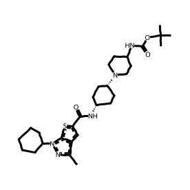 Cc1nn(C2CCCCC2)c2sc(C(=O)N[C@H]3CC[C@@H](N4CCC(NC(=O)OC(C)(C)C)CC4)CC3)cc12